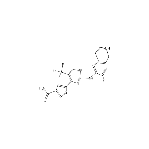 NC(=O)c1csc(-c2nc(Nc3cc4c(cc3Cl)CNCC4)ncc2C(F)(F)F)c1